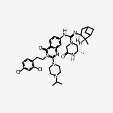 CC(C)N1CCN(c2nc3cc(N/C(=N/[C@H]4CC5CC(C5)[C@@H]4C)N4CC(=O)N[C@@H](C)C4)ccc3c(=O)n2CCc2ccc(Cl)cc2Cl)CC1